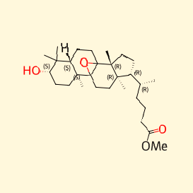 COC(=O)CCC[C@@H](C)[C@H]1CC[C@@]2(C)C34CC[C@H]5C(C)(C)[C@@H](O)CC[C@]5(C)C3(CC[C@]12C)O4